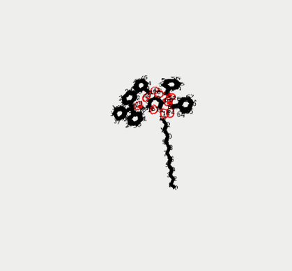 CCCCCCCCCCCCCCO[C@@H]1O[C@H](COC(c2ccccc2)(c2ccccc2)c2ccccc2)[C@@H](OC(=O)c2ccccc2)[C@H](OC(=O)c2ccccc2)[C@H]1OC(=O)c1ccccc1